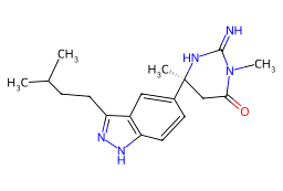 CC(C)CCc1n[nH]c2ccc([C@]3(C)CC(=O)N(C)C(=N)N3)cc12